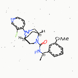 COc1cccc([C@@H](C)NC(=O)N2C[C@H]3C[C@@H]2CN3c2ccncc2F)c1